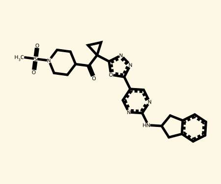 CS(=O)(=O)N1CCC(C(=O)C2(c3nnc(-c4cnc(NC5Cc6ccccc6C5)nc4)o3)CC2)CC1